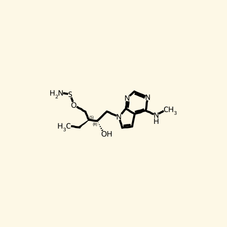 CC[C@@H](COSN)[C@@H](O)Cn1ccc2c(NC)ncnc21